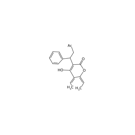 C/C=c1/c(O)c(C(CC(C)=O)c2ccccc2)c(=O)o/c1=C/C